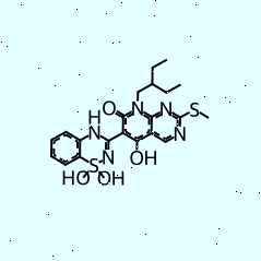 CCC(CC)Cn1c(=O)c(C2=NS(O)(O)c3ccccc3N2)c(O)c2cnc(SC)nc21